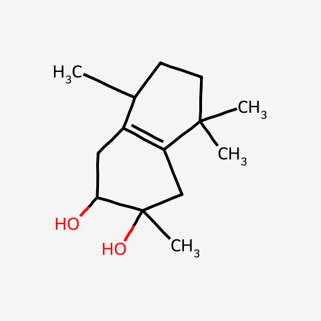 CC1CCC(C)(C)C2=C1CC(O)C(C)(O)C2